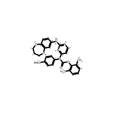 COc1ccc(N(C(=O)Oc2c(C)cccc2C)c2ccnc(Nc3ccc4c(c3)OCCCO4)n2)cc1